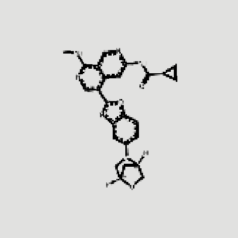 CNc1ncc(-c2nc3cc(N4C[C@@H]5C[C@H]4CO5)ccc3o2)c2cc(NC(=O)C3CC3)ncc12